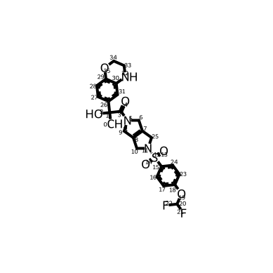 CC(O)(C(=O)N1CC2=C(C1)CN(S(=O)(=O)c1ccc(OC(F)F)cc1)C2)c1ccc2c(c1)NCCO2